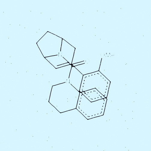 COc1ccccc1C1=CC2CCC(C1)N2C(=O)N1CCCc2ccccc21